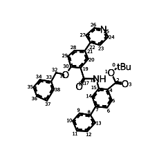 CC(C)(C)OC(=O)c1ccc(-c2ccccc2)cc1NC(=O)c1cc(-c2ccncc2)ccc1OCc1ccccc1